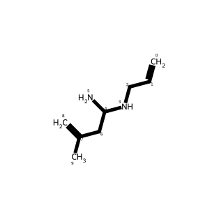 C=CCNC(N)CC(=C)C